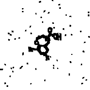 O=C(O)N1CCOc2c(Br)cc(F)cc2C1